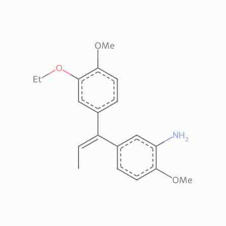 C/C=C(\c1ccc(OC)c(N)c1)c1ccc(OC)c(OCC)c1